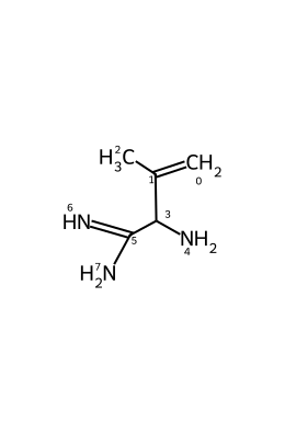 C=C(C)C(N)C(=N)N